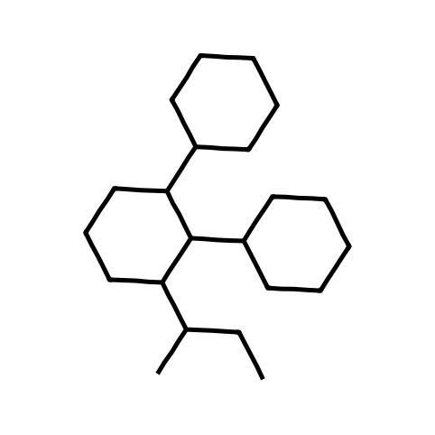 CCC(C)C1CCCC(C2CCCCC2)C1C1CCCCC1